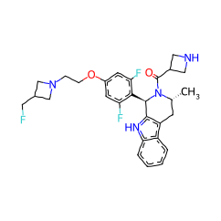 C[C@@H]1Cc2c([nH]c3ccccc23)[C@@H](c2c(F)cc(OCCN3CC(CF)C3)cc2F)N1C(=O)C1CNC1